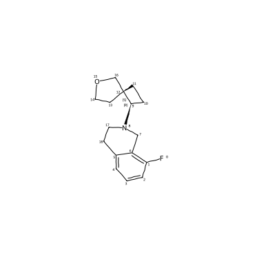 Fc1cccc2c1CN([C@@H]1CC[C@]13CCOC3)CC2